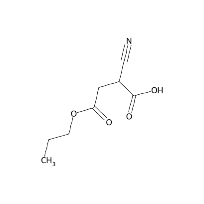 CCCOC(=O)CC(C#N)C(=O)O